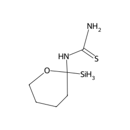 NC(=S)NC1([SiH3])CCCCO1